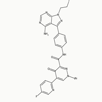 CC(C)n1cc(-c2ccc(F)cn2)c(=O)c(C(=O)Nc2ccc(-c3nn(CCF)c4ncnc(N)c34)cc2)n1